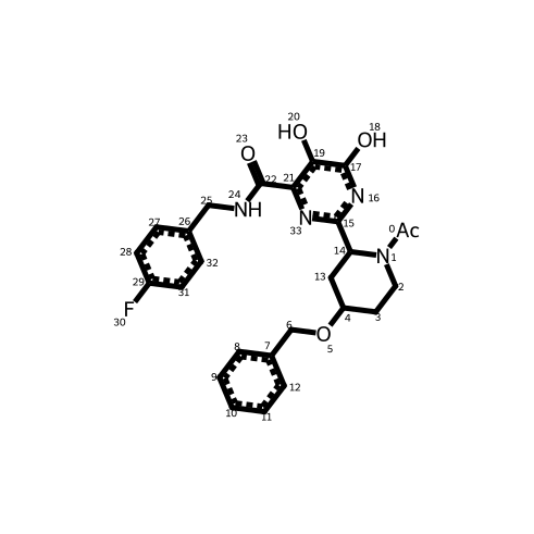 CC(=O)N1CCC(OCc2ccccc2)CC1c1nc(O)c(O)c(C(=O)NCc2ccc(F)cc2)n1